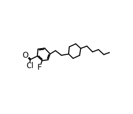 CCCCCC1CCC(CCc2ccc(C(=O)Cl)c(F)c2)CC1